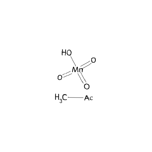 CC(C)=O.[O]=[Mn](=[O])(=[O])[OH]